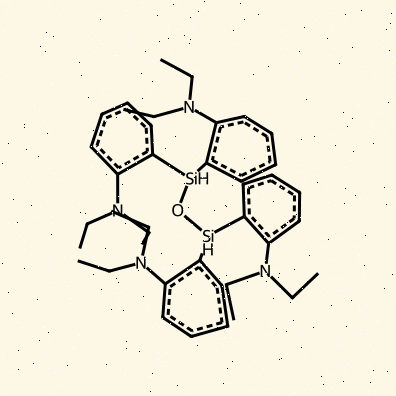 CCN(CC)c1ccccc1[SiH](O[SiH](c1ccccc1N(CC)CC)c1ccccc1N(CC)CC)c1ccccc1N(CC)CC